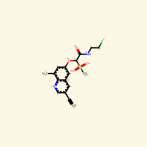 C#Cc1cnc2c(C)cc(OC(C(=O)NCCF)S(C)(=O)=O)cc2c1